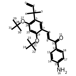 C=CC(C)(C)c1cc(C=CC(=O)c2ccc(N)cc2)c(OC(C)(C)C)cc1OC(C)(C)C